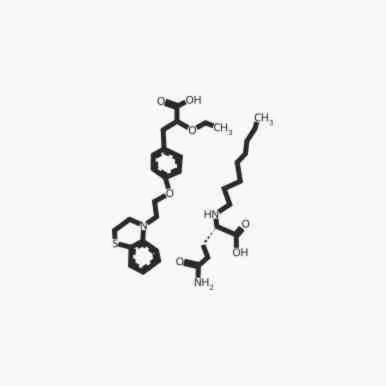 CCCCCCCCN[C@@H](CCC(N)=O)C(=O)O.CCOC(Cc1ccc(OCCN2CCSc3ccccc32)cc1)C(=O)O